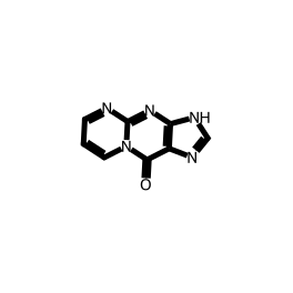 O=c1c2nc[nH]c2nc2ncccn12